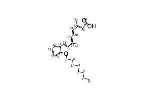 CCCCCCCCOc1ccccc1C=CC(C)=CC=CC(C)=CC(=O)O